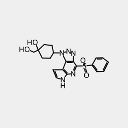 O=S(=O)(c1ccccc1)c1nc2[nH]ccc2c2c1nnn2C1CCC(O)(CO)CC1